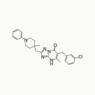 Cc1[nH]c2nc(CC3(C)CCN(c4ccccc4)CC3)nn2c(=O)c1Cc1cccc(Cl)c1